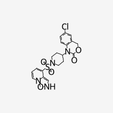 O=C1OCc2cc(Cl)ccc2N1C1CCN(S(=O)(=O)C2=CC=CN3ONC=C23)CC1